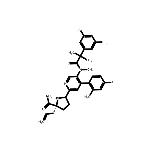 C=CC[C@@]1(C(N)=O)CCC(c2cc(-c3ccc(F)cc3C)c(N(C)C(=O)C(C)(C)c3cc(C(F)(F)F)cc(C(F)(F)F)c3)cn2)N1